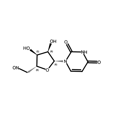 O=NC[C@H]1O[C@@H](n2ccc(=O)[nH]c2=O)[C@H](O)[C@@H]1O